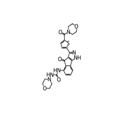 O=C(Nc1cccc2c1C(=O)c1c(-c3ccc(C(=O)N4CCOCC4)s3)n[nH]c1-2)NN1CCOCC1